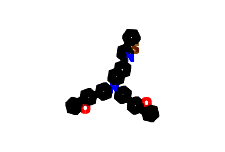 c1ccc2c(c1)oc1cc(-c3ccc(N(c4ccc(-c5ccc6c(c5)oc5ccccc56)cc4)c4ccc5cc(-c6ccc7c(n6)sc6ccccc67)ccc5c4)cc3)ccc12